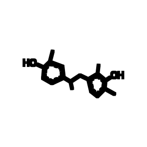 Cc1cc(C(C)Cc2ccc(C)c(O)c2C)ccc1O